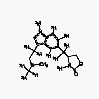 [2H]c1c(C([2H])([2H])[C@H]2COC(=O)N2[2H])c([2H])c2c(C([2H])([2H])CN(C)C([2H])([2H])[2H])cn([2H])c2c1[2H]